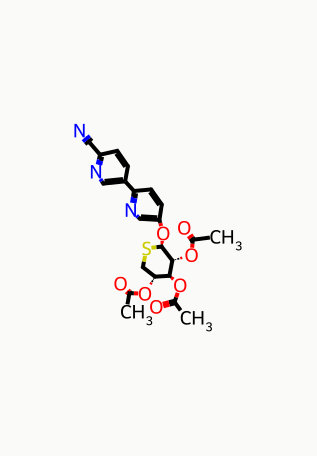 CC(=O)O[C@@H]1[C@@H](OC(C)=O)[C@H](OC(C)=O)CS[C@H]1Oc1ccc(-c2ccc(C#N)nc2)nc1